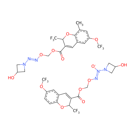 Cc1cc(OC(F)(F)F)cc2c1OC(C(F)(F)F)C(C(=O)OCON=NN1CC(O)C1)=C2.O=C(OCON=[N+]([O-])N1CC(O)C1)C1=Cc2cc(OC(F)(F)F)ccc2OC1C(F)(F)F